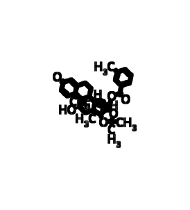 Cc1cccc(C(=O)OCC(=O)[C@@]23OC(C)(C)O[C@@H]2C[C@H]2C4CCC5=CC(=O)C=C[C@]5(C)[C@@]4(F)[C@@H](O)C[C@@]23C)c1